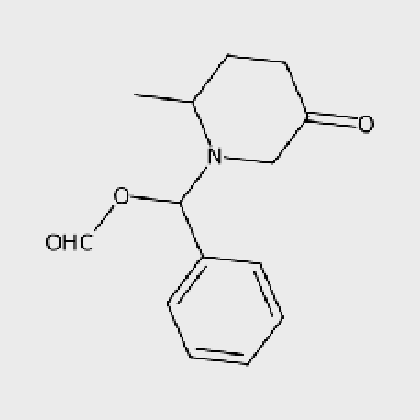 CC1CCC(=O)CN1C(OC=O)c1ccccc1